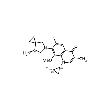 COc1c(N2C[C@@H](N)C3(CC3)C2)c(F)cc2c(=O)c(C)cn([C@@H]3C[C@@H]3F)c12